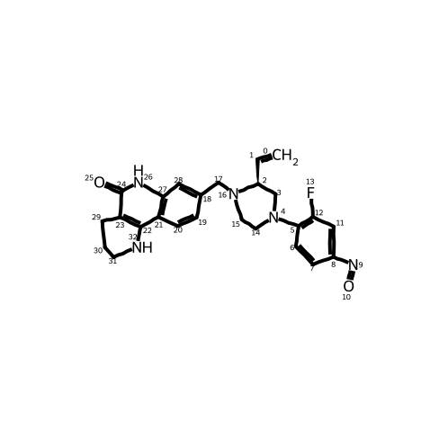 C=C[C@H]1CN(c2ccc(N=O)cc2F)CCN1Cc1ccc2c3c(c(=O)[nH]c2c1)CCCN3